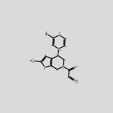 C=CC(=O)N1Cc2sc(C)cc2[C@@H](N2C=CSC(Br)=C2)C1